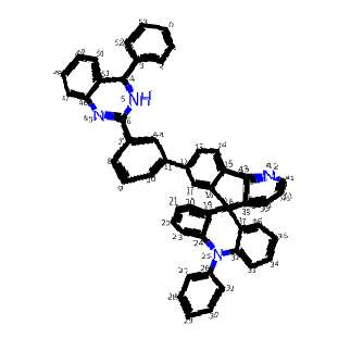 c1ccc(C2NC(c3cccc(-c4ccc5c(c4)C4(c6ccccc6N(c6ccccc6)c6ccccc64)c4cccnc4-5)c3)=Nc3ccccc32)cc1